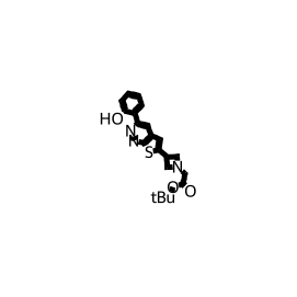 CC(C)(C)OC(=O)CN1CC(c2cc3cc(-c4ccccc4O)nnc3s2)C1